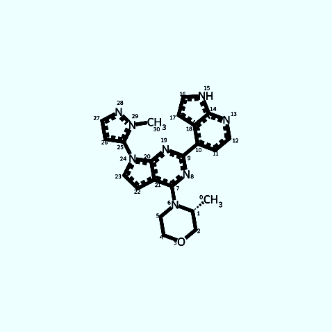 C[C@@H]1COCCN1c1nc(-c2ccnc3[nH]ccc23)nc2c1ccn2-c1ccnn1C